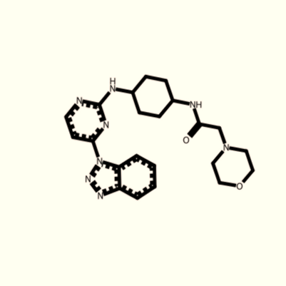 O=C(CN1CCOCC1)NC1CCC(Nc2nccc(-n3nnc4ccccc43)n2)CC1